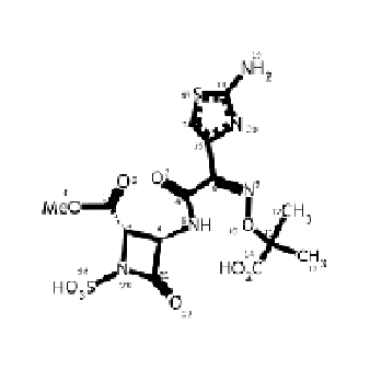 COC(=O)[C@@H]1[C@@H](NC(=O)C(=NOC(C)(C)C(=O)O)c2csc(N)n2)C(=O)N1S(=O)(=O)O